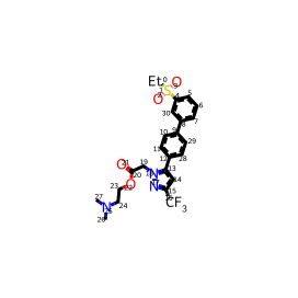 CCS(=O)(=O)c1cccc(-c2ccc(-c3cc(C(F)(F)F)nn3CC(=O)OCCN(C)C)cc2)c1